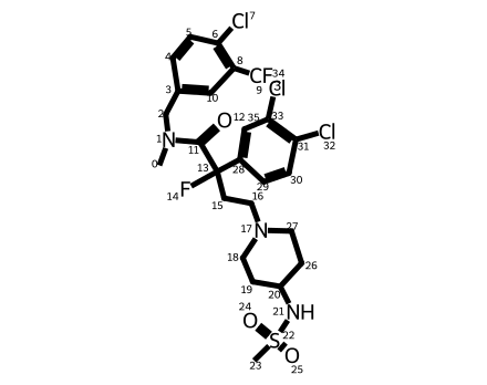 CN(Cc1ccc(Cl)c(C(F)(F)F)c1)C(=O)C(F)(CCN1CCC(NS(C)(=O)=O)CC1)c1ccc(Cl)c(Cl)c1